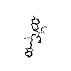 CC(C)[C@H]1c2ccc(F)cc2CC[C@@]1(CCN(C)CCCc1nc2ccccc2[nH]1)OC(=O)CC1CC1